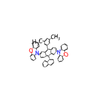 Cc1cc(C)cc(-c2c3cc(N4c5ccccc5Oc5ccccc54)ccc3c(-c3cccc4ccccc34)c3cc(N4c5ccccc5Oc5ccccc54)ccc23)c1